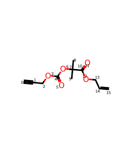 C#CCOC(=O)OC(C)(C)C(=O)OCC=C